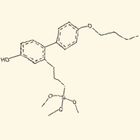 CCCCOc1ccc(-c2ccc(O)cc2CCC[Si](OC)(OC)OC)cc1